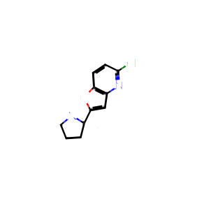 C[C@]1(c2cc3nc(Cl)ccc3o2)CCCN1